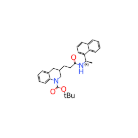 C[C@@H](NC(=O)CCC1Cc2ccccc2N(C(=O)OC(C)(C)C)C1)c1cccc2ccccc12